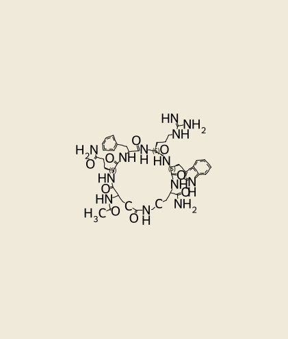 CC(=O)NC1CCC(=O)NCCCC(C(N)=O)NC(=O)[C@H](Cc2c[nH]c3ccccc23)NC(=O)[C@H](CCCNC(=N)N)NC(=O)C(Cc2ccccc2)NC(=O)[C@H](CCC(N)=O)NC1=O